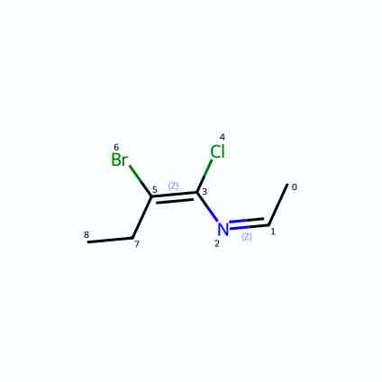 C/C=N\C(Cl)=C(\Br)CC